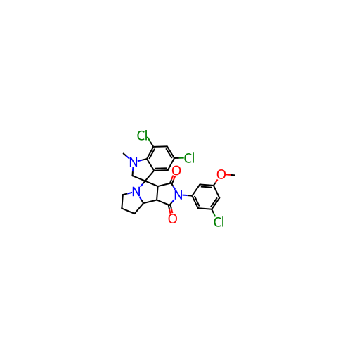 COc1cc(Cl)cc(N2C(=O)C3C4CCCN4C4(CN(C)c5c(Cl)cc(Cl)cc54)C3C2=O)c1